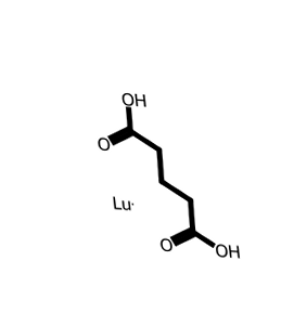 O=C(O)CCCC(=O)O.[Lu]